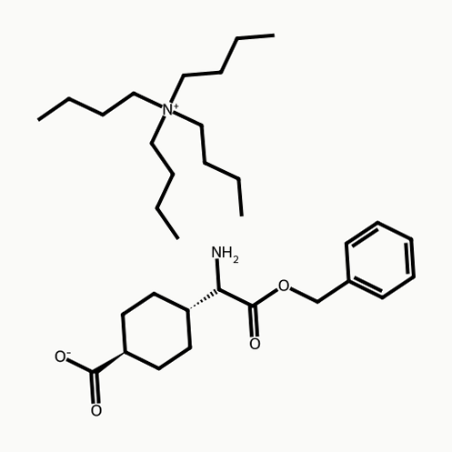 CCCC[N+](CCCC)(CCCC)CCCC.NC(C(=O)OCc1ccccc1)[C@H]1CC[C@H](C(=O)[O-])CC1